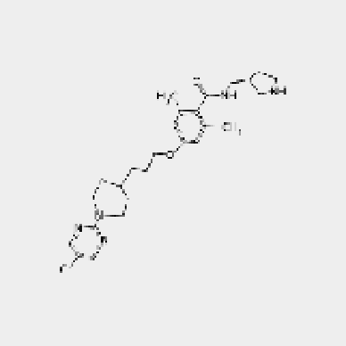 Cc1cc(OCCCC2CCN(c3ncc(Cl)cn3)CC2)cc(C)c1C(=O)NC[C@H]1CCNC1